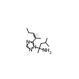 CC/C=C(/C)c1ncnn1C(C)(N)CC(C)C